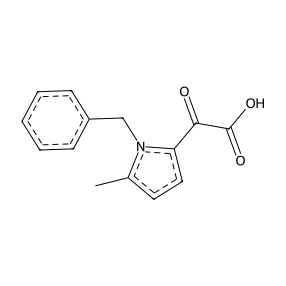 Cc1ccc(C(=O)C(=O)O)n1Cc1ccccc1